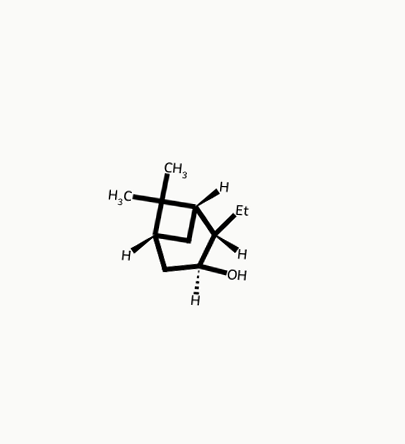 CC[C@@H]1[C@@H](O)C[C@H]2C[C@@H]1C2(C)C